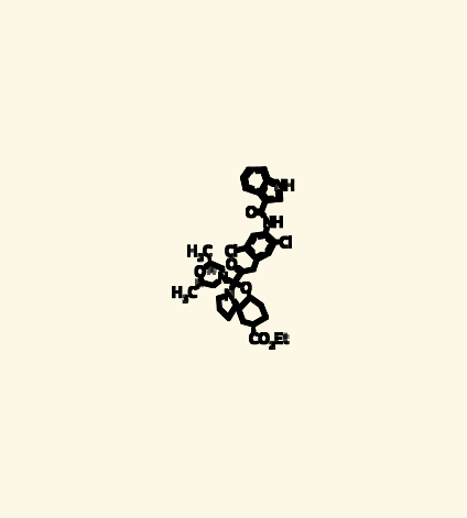 CCOC(=O)[C@H]1CC[C@H](OC(C(=O)Cc2cc(Cl)c(NC(=O)c3c[nH]c4ccccc34)cc2Cl)(N2CCCC2)N2C[C@@H](C)O[C@@H](C)C2)CC1